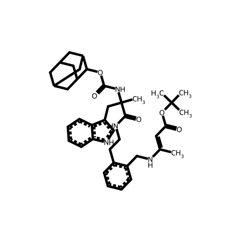 CC(=CC(=O)OC(C)(C)C)NCc1ccccc1CCNC(=O)C(C)(Cc1c[nH]c2ccccc12)NC(=O)OC1C2CC3CC(C2)CC1C3